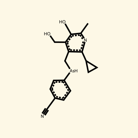 Cc1nc(C2CC2)c(C[AsH]c2ccc(C#N)cc2)c(CO)c1O